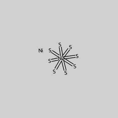 [Ni].[S]=[Ni](=[S])(=[S])(=[S])(=[S])(=[S])(=[S])=[S]